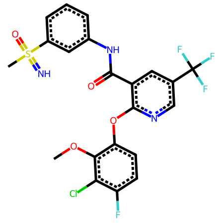 COc1c(Oc2ncc(C(F)(F)F)cc2C(=O)Nc2cccc(S(C)(=N)=O)c2)ccc(F)c1Cl